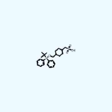 CC(C)(C)[Si](OCC1CCC(CS(=O)(=O)O)CC1)(c1ccccc1)c1ccccc1